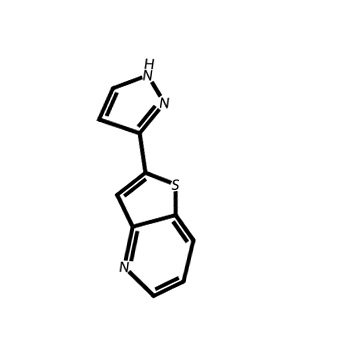 c1cnc2cc(-c3cc[nH]n3)sc2c1